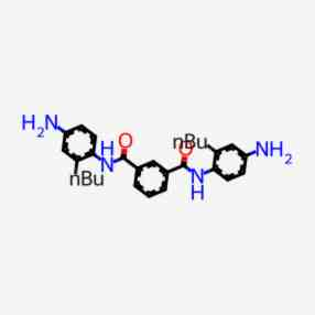 CCCCc1cc(N)ccc1NC(=O)c1cccc(C(=O)Nc2ccc(N)cc2CCCC)c1